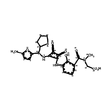 Cc1ccc([C@H](Nc2c(Nc3cccc(C(=O)N(C)CC(=O)O)c3O)c(=O)c2=O)C2CCCS2)o1